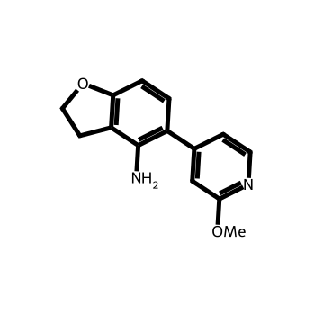 COc1cc(-c2ccc3c(c2N)CCO3)ccn1